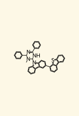 CN1C(c2ccccc2)N=C(c2ccccc2)NC1n1c2ccccc2c2cc(-c3cccc4c3sc3ccccc34)ccc21